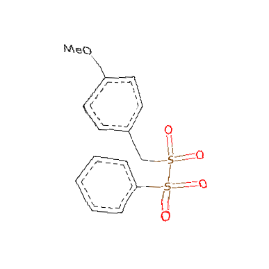 COc1ccc(CS(=O)(=O)S(=O)(=O)c2ccccc2)cc1